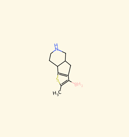 Bc1c(C)sc2c1CC1CNCCC21